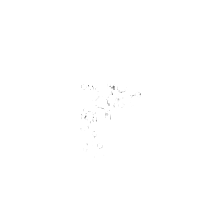 COc1cc(-c2nc(C(C)OC3CCCCO3)no2)c(Cl)c2c1C(=O)[C@@]1(CCC(=O)C=C1O)O2